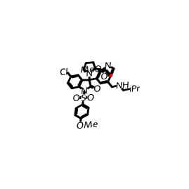 COc1ccc(S(=O)(=O)N2C(=O)C(c3cc(CNCC(C)C)ccc3OC)(N3CCCC3c3ncco3)c3cc(Cl)ccc32)cc1